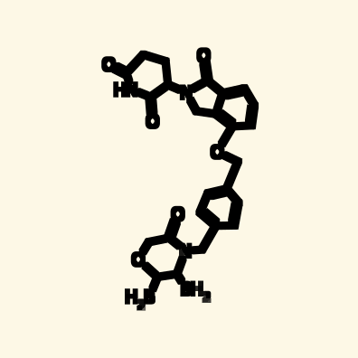 BC1OCC(=O)N(Cc2ccc(COc3cccc4c3CN(C3CCC(=O)NC3=O)C4=O)cc2)C1B